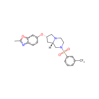 Cc1nc2ccc(O[C@H]3C[C@H]4CN(S(=O)(=O)c5cccc(C(F)(F)F)c5)CCN4C3)cc2o1